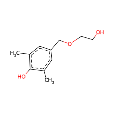 Cc1cc(COCCO)cc(C)c1O